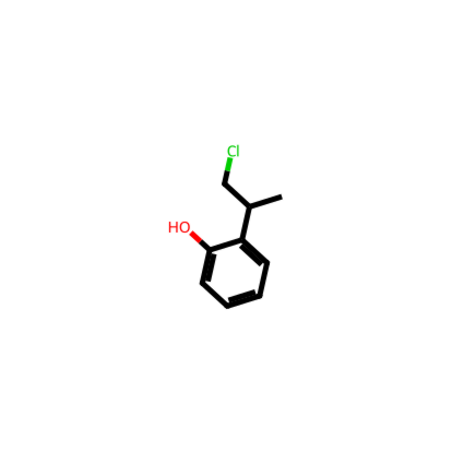 CC(CCl)c1ccccc1O